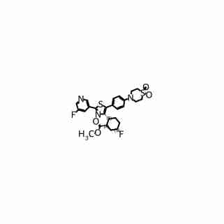 COC(=O)[C@@H]1C[C@@H](F)CC[C@H]1c1nc(-c2cncc(F)c2)sc1-c1ccc(N2CCS(=O)(=O)CC2)cc1